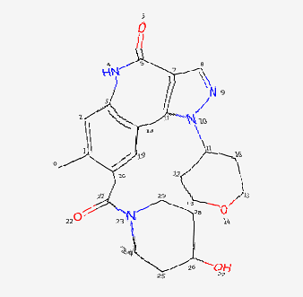 Cc1cc2[nH]c(=O)c3cnn(C4CCOCC4)c3c2cc1C(=O)N1CCC(O)CC1